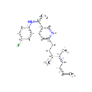 C=C(Nc1ccc(F)cc1)c1ccc(CCC(C)/C(C)=C\C=C/C)nc1